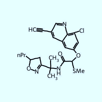 C#Cc1cnc2c(Cl)cc(OC(SC)C(=O)NC(C)(C)C3=NOC(CCC)C3)cc2c1